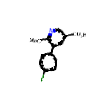 COc1ncc(C(=O)O)cc1-c1ccc(F)cc1